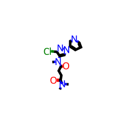 CN(C)C(=O)CCC(=O)N(C)c1cn(-c2cccnc2)nc1Cl